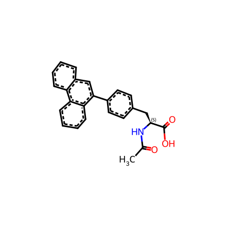 CC(=O)N[C@@H](Cc1ccc(-c2cc3ccccc3c3ccccc23)cc1)C(=O)O